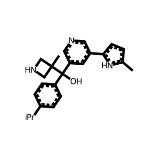 Cc1ccc(-c2cncc(C(O)(c3ccc(C(C)C)cc3)C3(C)CNC3)c2)[nH]1